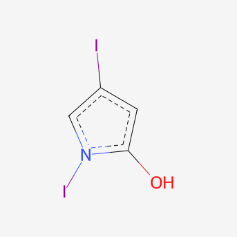 Oc1cc(I)cn1I